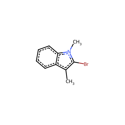 Cc1c(Br)n(C)c2ccccc12